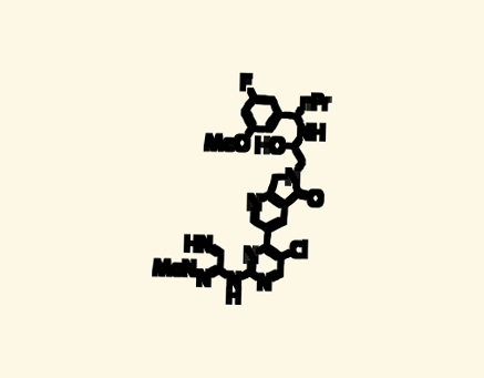 CCC[C@@H](NC(O)CN1Cc2ncc(-c3nc(N/C(C=N)=N/NC)ncc3Cl)cc2C1=O)c1cc(F)cc(OC)c1